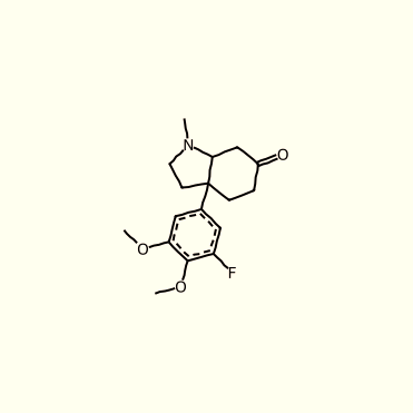 COc1cc(C23CCC(=O)CC2N(C)CC3)cc(F)c1OC